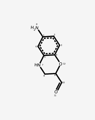 Nc1ccc2c(c1)NCC(C=O)O2